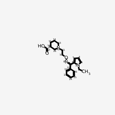 CCn1cccc1C(=NOCCN1CCC[C@@H](C(=O)O)C1)c1ccccc1